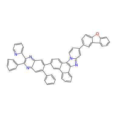 c1ccc(-c2cc3nc(-c4ccccc4)c(-c4ccccn4)nc3cc2-c2ccc3c(c2)c2ccccc2c2nc4cc(-c5ccc6oc7ccccc7c6c5)ccn4c32)cc1